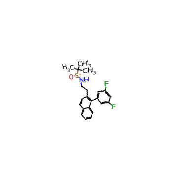 CC(C)(C)[S+]([O-])NCCc1ccc2ccccc2c1-c1cc(F)cc(F)c1